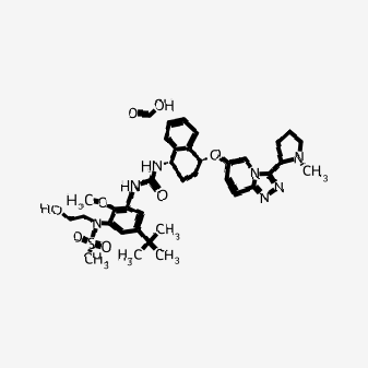 COc1c(NC(=O)N[C@H]2CC[C@@H](Oc3ccc4nnc(C5CCCN5C)n4c3)c3ccccc32)cc(C(C)(C)C)cc1N(CCO)S(C)(=O)=O.O=CO